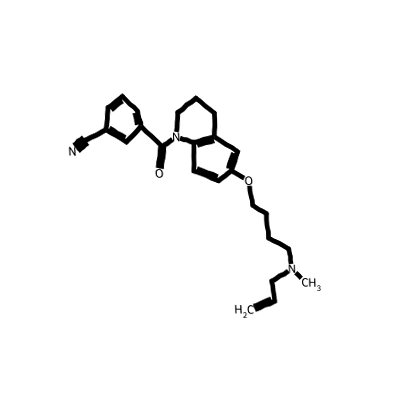 C=CCN(C)CCCCOc1ccc2c(c1)CCCN2C(=O)c1cccc(C#N)c1